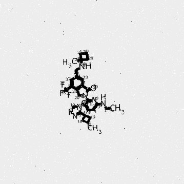 CCNc1cc([C@]2(c3nncn3C)C[C@H](C)C2)cc(N2Cc3c(cc(CNC4(C)CCC4)cc3C(F)(F)F)C2=O)n1